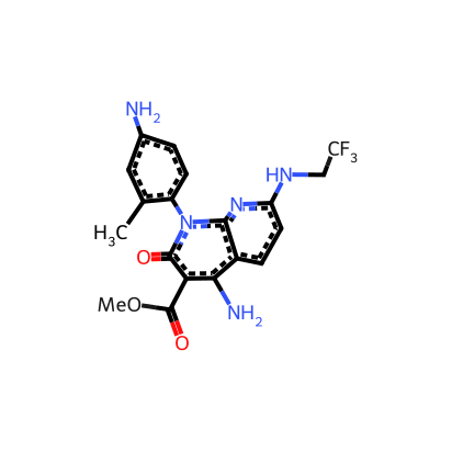 COC(=O)c1c(N)c2ccc(NCC(F)(F)F)nc2n(-c2ccc(N)cc2C)c1=O